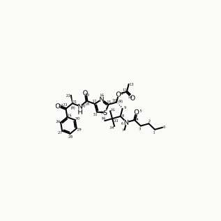 CCCCC(=O)N(C)C(C[C@@H](OC(C)=O)c1nc(C(=O)N[C@H](C)C(=O)c2ccccc2)cs1)C(C)(C)C